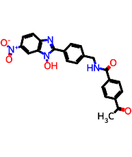 CC(=O)c1ccc(C(=O)NCc2ccc(-c3nc4ccc([N+](=O)[O-])cc4n3O)cc2)cc1